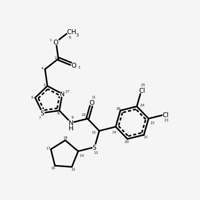 COC(=O)Cc1csc(NC(=O)C(SC2CCCC2)c2ccc(Cl)c(Cl)c2)n1